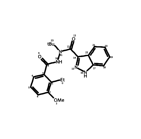 CCc1c(OC)cccc1C(=O)NN(C(=O)c1n[nH]c2ccccc12)C(C)(C)C